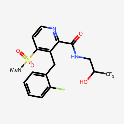 CNS(=O)(=O)c1ccnc(C(=O)NCC(O)C(F)(F)F)c1Cc1ccccc1F